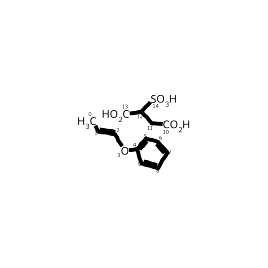 CC=COc1ccccc1.O=C(O)CC(C(=O)O)S(=O)(=O)O